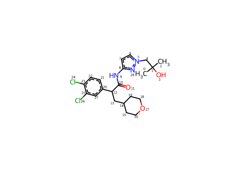 CC(C)(O)Cn1ccc(NC(=O)C(CC2CCOCC2)c2ccc(Cl)c(Cl)c2)n1